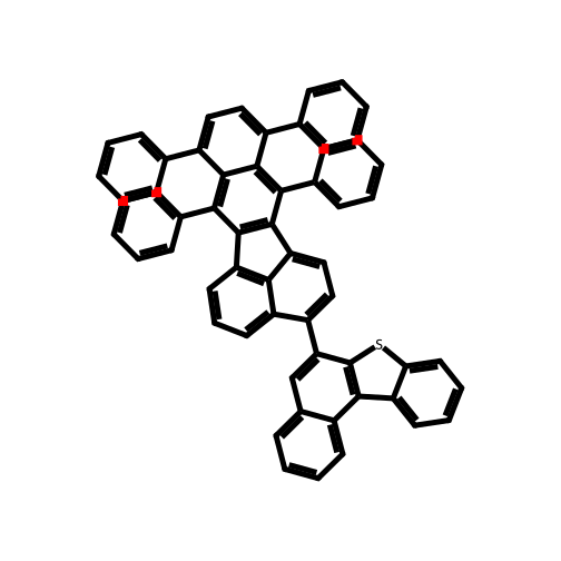 c1ccc(-c2ccc(-c3ccccc3)c3c(-c4ccccc4)c4c(c(-c5ccccc5)c23)-c2cccc3c(-c5cc6ccccc6c6c5sc5ccccc56)ccc-4c23)cc1